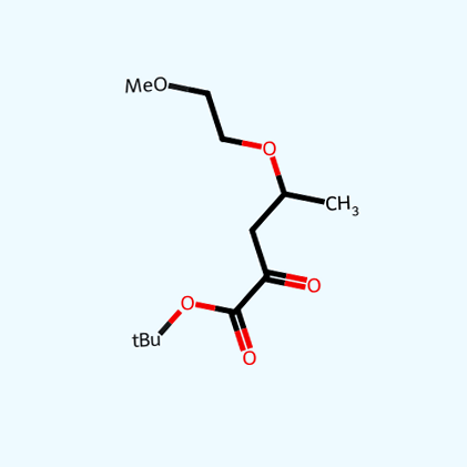 COCCOC(C)CC(=O)C(=O)OC(C)(C)C